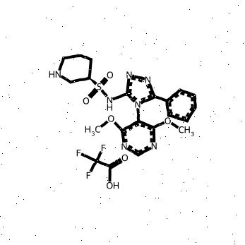 COc1ncnc(OC)c1-n1c(NS(=O)(=O)[C@@H]2CCCNC2)nnc1-c1ccccc1.O=C(O)C(F)(F)F